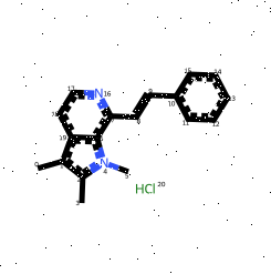 Cc1c(C)n(C)c2c(C=Cc3ccccc3)nccc12.Cl